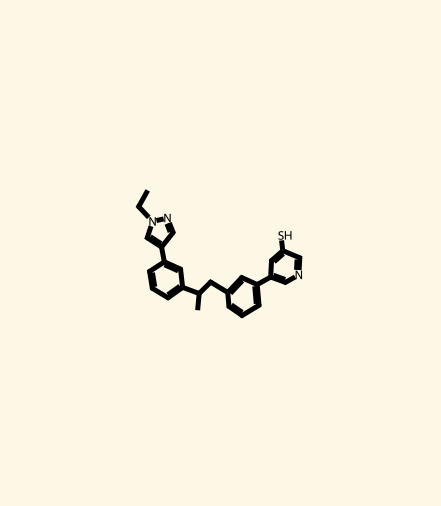 CCn1cc(-c2cccc(C(C)Cc3cccc(-c4cncc(S)c4)c3)c2)cn1